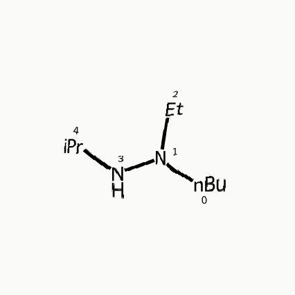 CCCCN(CC)NC(C)C